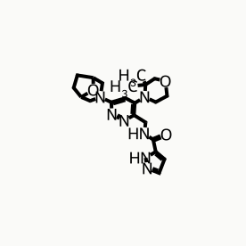 CC1(C)COCCN1c1cc(N2CC3CCC(C2)O3)nnc1CNC(=O)c1ccn[nH]1